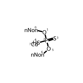 CCCCCCCCCOP(=S)(S)OCCCCCCCCC.[Cd]